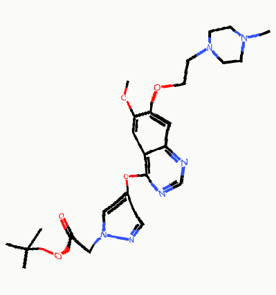 COc1cc2c(Oc3cnn(CC(=O)OC(C)(C)C)c3)ncnc2cc1OCCN1CCN(C)CC1